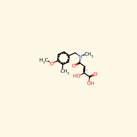 COc1ccc(CN(C)C(=O)/C=C(\O)C(=O)O)cc1C